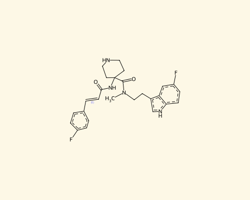 CN(CCc1c[nH]c2ccc(F)cc12)C(=O)C1(NC(=O)/C=C/c2ccc(F)cc2)CCNCC1